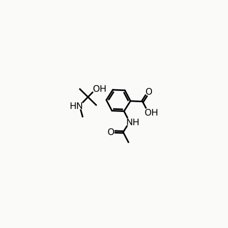 CC(=O)Nc1ccccc1C(=O)O.CNC(C)(C)O